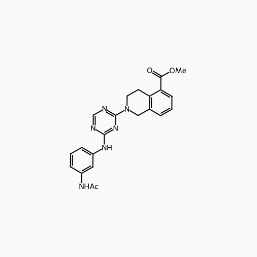 COC(=O)c1cccc2c1CCN(c1ncnc(Nc3cccc(NC(C)=O)c3)n1)C2